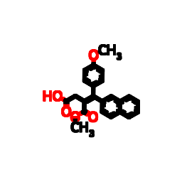 COC(=O)/C(CC(=O)O)=C(/c1ccc(OC)cc1)c1ccc2ccccc2c1